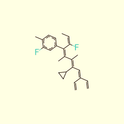 C=CC(C=C)=C/C(=C(C)/C(C)=C(\C(F)=C/C)c1ccc(C)c(F)c1)C1CC1